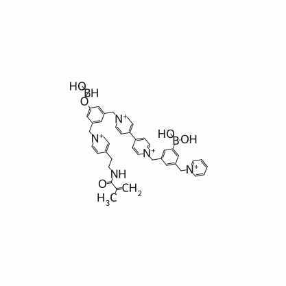 C=C(C)C(=O)NCCc1cc[n+](Cc2cc(C[n+]3ccc(-c4cc[n+](Cc5cc(C[n+]6ccccc6)cc(B(O)O)c5)cc4)cc3)cc(OBO)c2)cc1